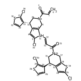 C=CC(=O)N1CC2=C(C=C(Cl)[SH]2/C=C/C(=O)N2Cc3sc(Cl)cc3[C@@H](c3ccsc3Cl)C2)[C@H](c2ccsc2Cl)C1